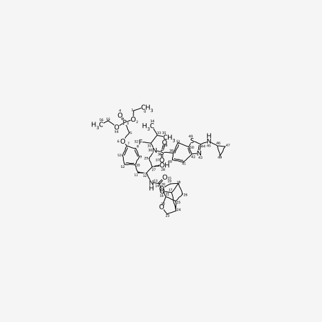 CCOP(=O)(COc1ccc(C[C@H](NC(=O)OC2C3COC4OCC2C4C3)[C@H](O)CN(C(F)C(C)C)S(=O)(=O)c2ccc3nc(NC4CC4)sc3c2)cc1)OCC